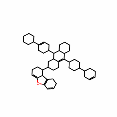 C1=CC2=C(CC1)C1C(=CCCC1C1CCC3=C(C4CCC(C5CC=CCC5)CC4)C4CCCCC4C(C4CC=C(C5CCCCC5)CC4)C3C1)O2